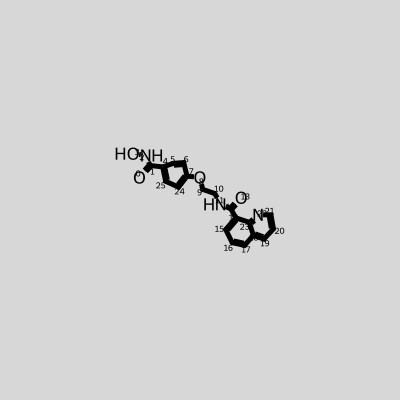 O=C(NO)c1ccc(OCCNC(=O)c2cccc3cccnc23)cc1